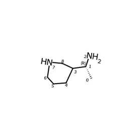 C[C@@H](N)C1CCCNC1